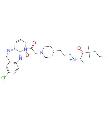 CCCC(C)(C)C(=O)C(C)NCCCC1CCN(CC(=O)[N+]2([O-])CC=CC3=NCc4cc(Cl)ccc4N=C32)CC1